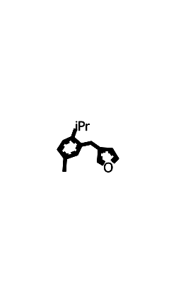 Cc1ccc(C(C)C)c(Cc2ccoc2)c1